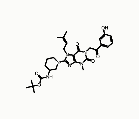 CC(C)=CCn1c(N2CCCC(NC(=O)OC(C)(C)C)C2)nc2c1c(=O)n(CC(=O)c1cccc(O)c1)c(=O)n2C